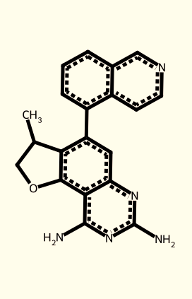 CC1COc2c1c(-c1cccc3cnccc13)cc1nc(N)nc(N)c21